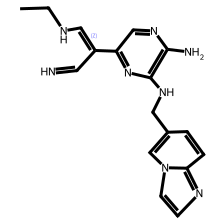 CCN/C=C(\C=N)c1cnc(N)c(NCc2ccc3nccn3c2)n1